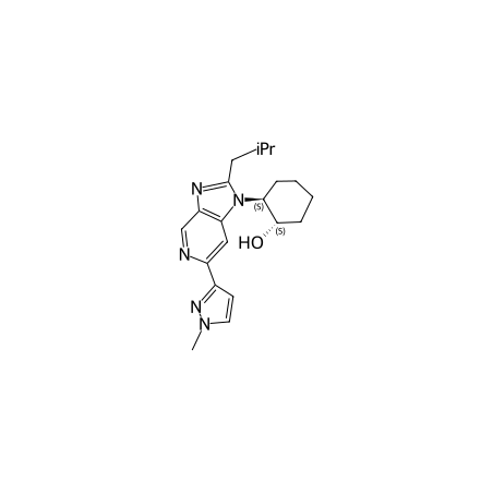 CC(C)Cc1nc2cnc(-c3ccn(C)n3)cc2n1[C@H]1CCCC[C@@H]1O